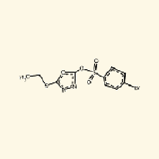 CCSc1nnc(OS(=O)(=O)c2ccc(Br)cc2)o1